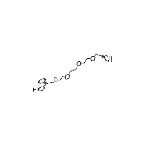 C#CCOCCOCCOCCOCC(=O)O